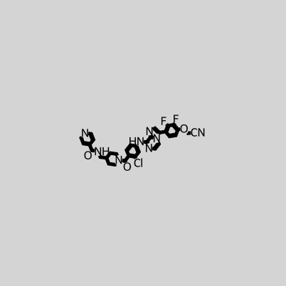 N#CCOc1ccc(-c2cnc3c(Nc4ccc(C(=O)N5CCC(CNC(=O)c6ccncc6)CC5)c(Cl)c4)nccn23)c(F)c1F